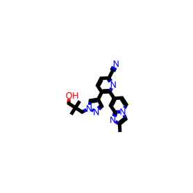 Cc1cn2ccc(-c3nc(C#N)ccc3-c3cnn(CC(C)(C)CO)c3)cc2n1